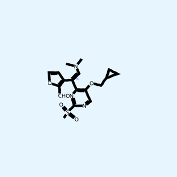 CN(C)/C=C(\c1ccoc1C=O)c1nc(S(C)(=O)=O)ncc1OCC1CC1